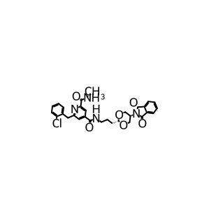 CNC(=O)c1cc(C(=O)NCCC[C@H]2OC[C@H](N3C(=O)c4ccccc4C3=O)CO2)cc(Cc2ccccc2Cl)n1